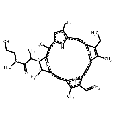 C=Cc1c(C)c2cc3nc(c(C)c4cc(C)c(cc5nc(cc1[nH]2)C(C)=C5CC)[nH]4)[C@H](C(C)C(=O)N(C)CCO)[C@@H]3C